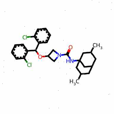 CC1CC2CC(C)CC(NC(=O)N3CC(OC(c4ccccc4Cl)c4ccccc4Cl)C3)(C1)C2